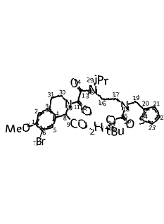 COc1cc2c(cc1Br)C(C(=O)O)N(C(=O)C(=O)N(CCN(Cc1cccs1)C(=O)OC(C)(C)C)C(C)C)CC2